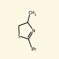 CC1CSC(C(C)C)=N1